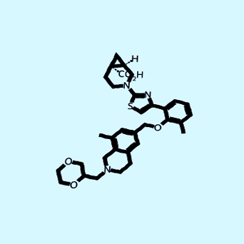 Cc1cc(COc2c(C)cccc2-c2csc(N3CC[C@@]4(C(=O)O)C[C@H]4C3)n2)cc2c1CN(CC1COCCO1)CC2